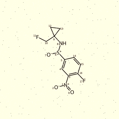 O=[N+]([O-])c1cc([S+]([O-])NC2(CF)CC2)ccc1F